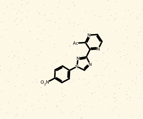 CC(=O)c1nccnc1-c1ncn(-c2ccc([N+](=O)[O-])cc2)n1